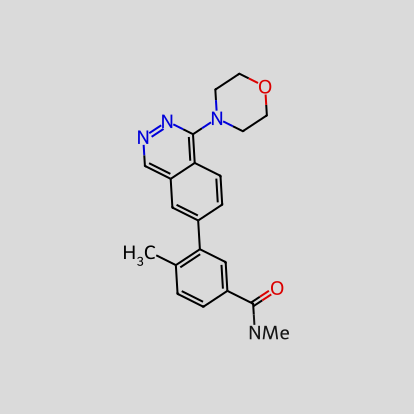 CNC(=O)c1ccc(C)c(-c2ccc3c(N4CCOCC4)nncc3c2)c1